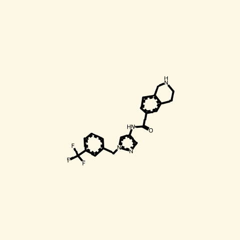 O=C(Nc1cnn(Cc2cccc(C(F)(F)F)c2)c1)c1ccc2c(c1)CCNC2